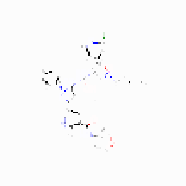 COCCN1C[C@@H](NC(O)Nc2c(C)c(-c3cnc(OC)c(C(=O)NC4CCOCC4)c3)nn2-c2ccccc2)[C@H](c2ccnc(F)c2)O1